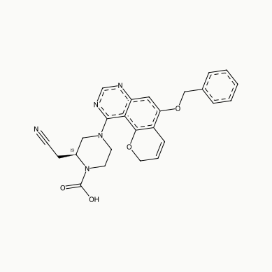 N#CC[C@H]1CN(c2ncnc3cc(OCc4ccccc4)c4c(c23)OCC=C4)CCN1C(=O)O